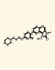 CC(C)n1c(=O)n(C)c2cnc3ccc(-c4ccc(OCCCN5CCCCC5)nc4F)cc3c21